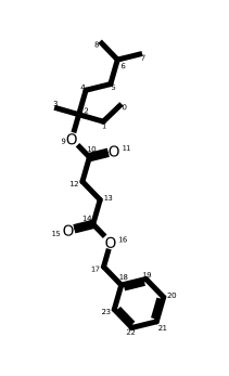 CCC(C)(CCC(C)C)OC(=O)CCC(=O)OCc1ccccc1